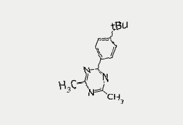 Cc1nc(C)nc(-c2ccc(C(C)(C)C)cc2)n1